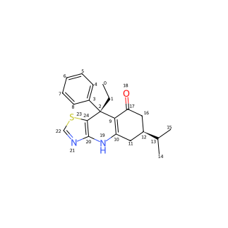 CC[C@@]1(c2ccccc2)C2=C(C[C@H](C(C)C)CC2=O)Nc2ncsc21